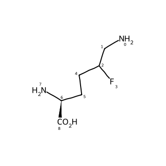 NCC(F)CC[C@H](N)C(=O)O